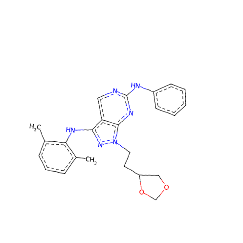 Cc1cccc(C)c1Nc1nn(CCC2COCO2)c2nc(Nc3ccccc3)ncc12